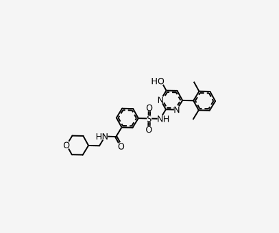 Cc1cccc(C)c1-c1cc(O)nc(NS(=O)(=O)c2cccc(C(=O)NCC3CCOCC3)c2)n1